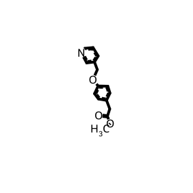 COC(=O)Cc1ccc(OCc2cccnc2)cc1